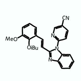 COc1cccc(C=Cc2nc3ccccc3n2-c2ccc(C#N)cn2)c1OCC(C)C